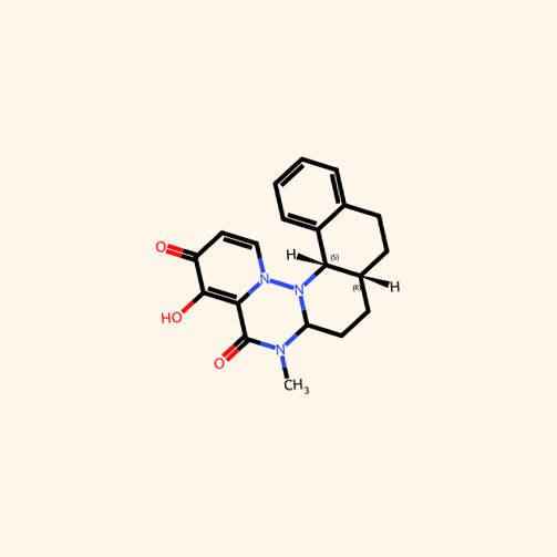 CN1C(=O)c2c(O)c(=O)ccn2N2C1CC[C@H]1CCc3ccccc3[C@H]12